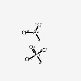 CP(=O)(Cl)Cl.CP(Cl)Cl